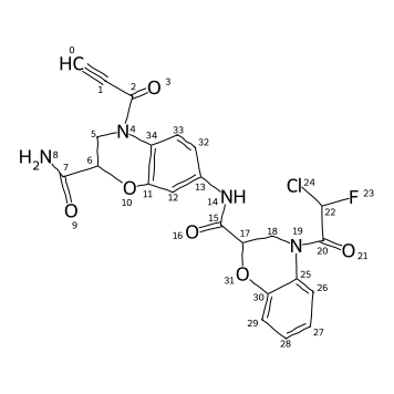 C#CC(=O)N1CC(C(N)=O)Oc2cc(NC(=O)C3CN(C(=O)C(F)Cl)c4ccccc4O3)ccc21